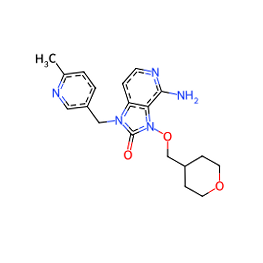 Cc1ccc(Cn2c(=O)n(OCC3CCOCC3)c3c(N)nccc32)cn1